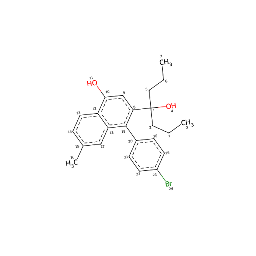 CCCC(O)(CCC)c1cc(O)c2ccc(C)cc2c1-c1ccc(Br)cc1